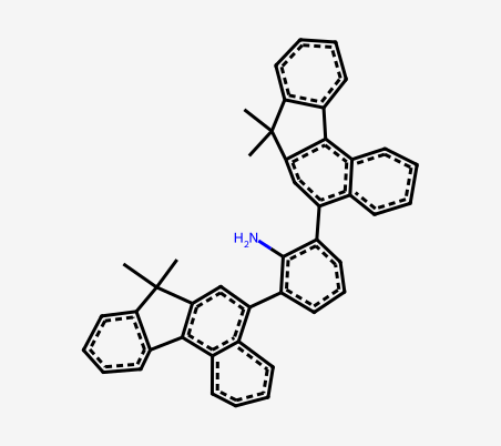 CC1(C)c2ccccc2-c2c1cc(-c1cccc(-c3cc4c(c5ccccc35)-c3ccccc3C4(C)C)c1N)c1ccccc21